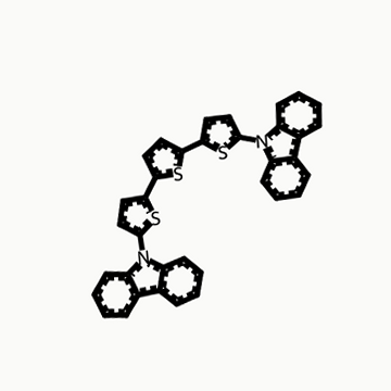 c1ccc2c(c1)c1ccccc1n2-c1ccc(-c2ccc(-c3ccc(-n4c5ccccc5c5ccccc54)s3)s2)s1